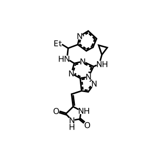 CCC(Nc1nc(NC2CC2)n2ncc(/C=C3\NC(=O)NC3=O)c2n1)c1ccccn1